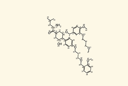 COCCCOc1cc(CO[C@H]2CN(C(=O)[C@@H](N)CC(C)C)C[C@@H](O)C2c2ccc(OCCCOCc3ccccc3OC)cc2)ccc1OC